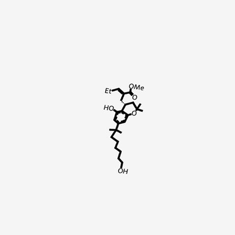 CC/C=C(\C[C@@H]1CC(C)(C)Oc2cc(C(C)(C)CCCCCCO)cc(O)c21)C(=O)OC